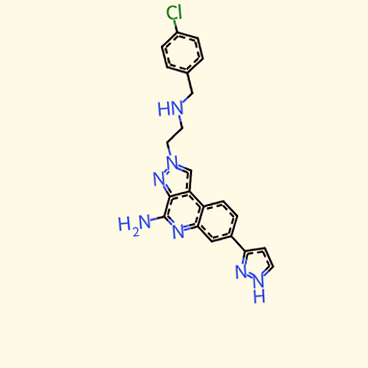 Nc1nc2cc(-c3cc[nH]n3)ccc2c2cn(CCNCc3ccc(Cl)cc3)nc12